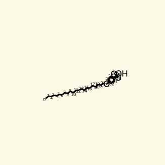 CCCCCCCCCCCCCCCCCCCCCCOc1ccc(S(=O)(=O)O)cc1